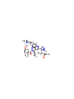 Cc1ccc(OCCN(C)C)cc1C(=O)N[C@H](C)c1cc(-c2cnn(CC(C)(C)O)c2)nc2ccccc12